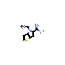 CCn1c(C(=N)N)cc2sccc21